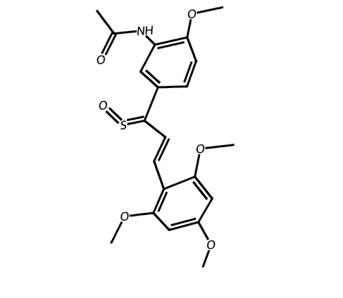 COc1cc(OC)c(C=CC(=S=O)c2ccc(OC)c(NC(C)=O)c2)c(OC)c1